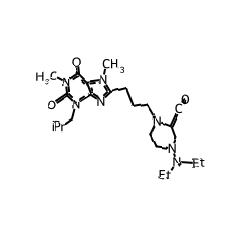 CCN(CC)N1CCN(CCCc2nc3c(c(=O)n(C)c(=O)n3CC(C)C)n2C)C(=C=O)C1